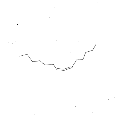 CCCCCC=C=CCCCCCC